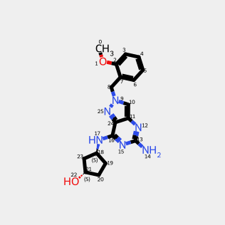 COc1ccccc1Cn1cc2nc(N)nc(N[C@H]3CC[C@H](O)C3)c2n1